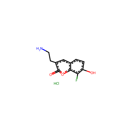 Cl.NCCc1cc2ccc(O)c(F)c2oc1=O